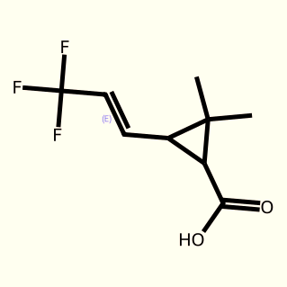 CC1(C)C(/C=C/C(F)(F)F)C1C(=O)O